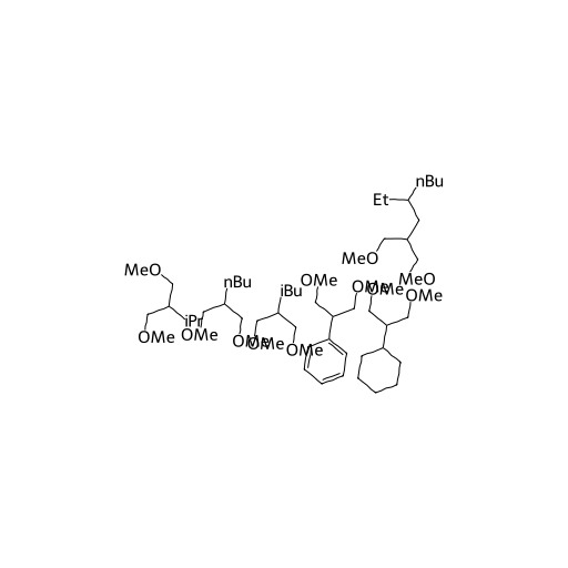 CCC(C)C(COC)COC.CCCCC(CC)CC(COC)COC.CCCCC(COC)COC.COCC(COC)C(C)C.COCC(COC)C1CCCCC1.COCC(COC)c1ccccc1